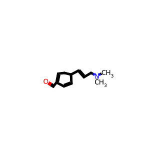 CN(C)C/C=C/C1C=CC(C=O)=CC1